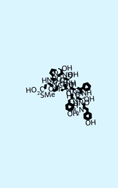 CSCC[C@H](NC(=O)[C@H](CCC(=O)O)NC(=O)[C@@H]1CCCN1C(=O)[C@@H](NC(=O)[C@H](CO)NC(=O)[C@H](CC(C)C)NC(=O)[C@H](Cc1c[nH]c2ccccc12)NC(=O)[C@H](Cc1ccc(O)cc1)NC(=O)[C@H](CO)NC(=O)[C@@H](N)Cc1ccc(O)cc1)[C@@H](C)O)C(=O)O